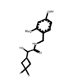 COc1ccc(CNC(=O)C(O)[C]2CC(F)(F)C2)c(OC)c1